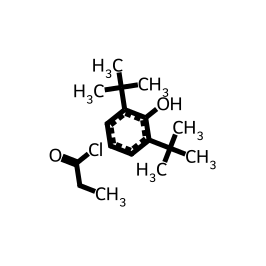 CC(C)(C)c1cccc(C(C)(C)C)c1O.CCC(=O)Cl